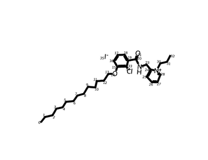 CCCCCCCCCCCCCCOc1cccc(C(=O)NCc2cccc[n+]2CCC)c1Cl.[I-]